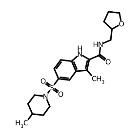 Cc1c(C(=O)NCC2CCCO2)[nH]c2ccc(S(=O)(=O)N3CCC(C)CC3)cc12